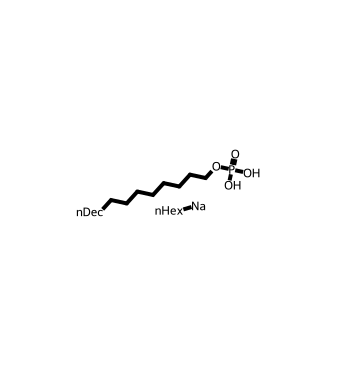 CCCCCCCCCCCCCCCCCCOP(=O)(O)O.CCCCC[CH2][Na]